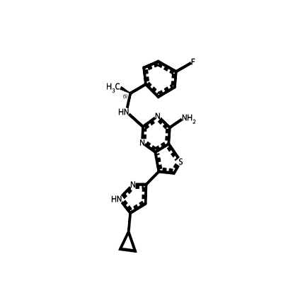 C[C@H](Nc1nc(N)c2scc(-c3cc(C4CC4)[nH]n3)c2n1)c1ccc(F)cc1